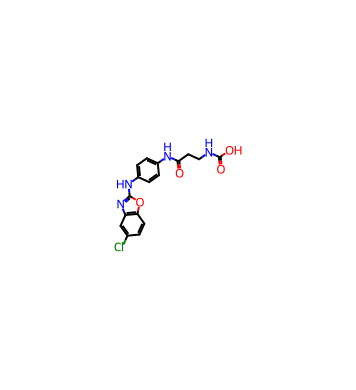 O=C(O)NCCC(=O)Nc1ccc(Nc2nc3cc(Cl)ccc3o2)cc1